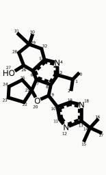 CC(C)c1nc2c(c3c1C(c1cnc(C(C)(C)C)nc1)OC31CCCC1)C(O)CC(C)(C)C2